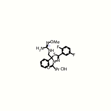 CO/N=C(/N)NCC1(c2ccccc2)SC(c2cc(F)ccc2F)=NN1C(=O)C(C)C.Cl